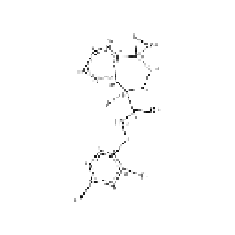 O=C(NCc1ccc(F)cc1F)[C@]1(F)CC[C@@]2(CO2)c2ncccc21